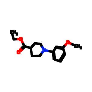 CCOC(=O)C1CCN(c2cccc(OC)c2)CC1